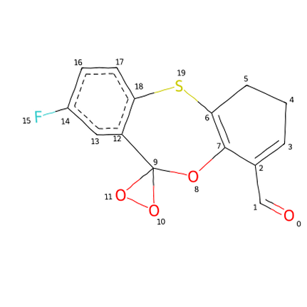 O=CC1=CCCC2=C1OC1(OO1)c1cc(F)ccc1S2